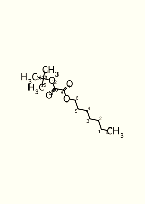 CCCCCCCOC(=O)C(=O)OC(C)(C)C